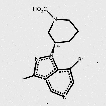 O=C(O)N1CCC[C@@H](n2nc(I)c3cncc(Br)c32)C1